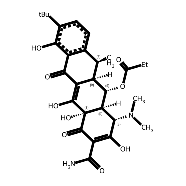 CCC(=O)O[C@H]1[C@H]2C(=C(O)[C@]3(O)C(=O)C(C(N)=O)=C(O)[C@@H](N(C)C)[C@H]13)C(=O)c1c(ccc(C(C)(C)C)c1O)[C@H]2C